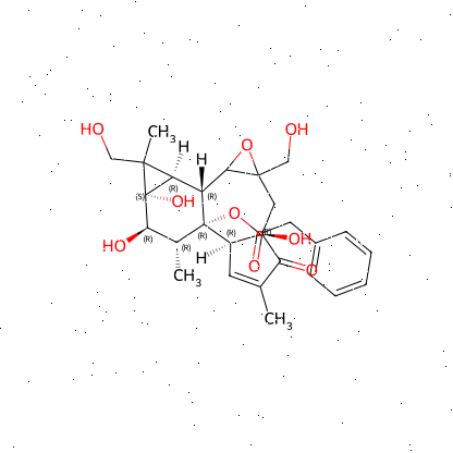 CC1=C[C@H]2[C@@]3(OC(=O)Cc4ccccc4)[C@H](C)[C@@H](O)[C@]4(O)[C@H]([C@@H]3C3OC3(CO)C[C@]2(O)C1=O)C4(C)CO